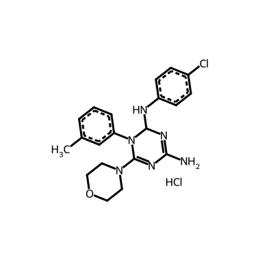 Cc1cccc(N2C(N3CCOCC3)=NC(N)=NC2Nc2ccc(Cl)cc2)c1.Cl